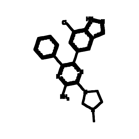 CN1CCN(c2nc(-c3cc(Cl)c4[nH]ncc4c3)c(-c3ccccc3)nc2N)C1